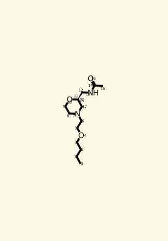 CCCCOCCN1CCO[C@@H](CNC(C)=O)C1